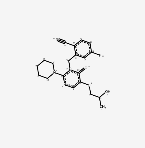 CC(O)COc1cnc(N2CCCCC2)n(Cc2cc(F)ccc2C#N)c1=O